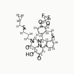 O=C1c2c(O)c(=O)ccn2N([C@@H]2c3ccccc3SCc3c2ccc2c3OC(F)(F)O2)CN1CCCSCC1CC1